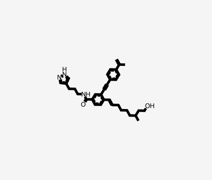 C=C(C)c1ccc(C#Cc2cc(C(=O)NCCCc3cn[nH]c3)ccc2/C=C/CCCCC(C)CCO)cc1